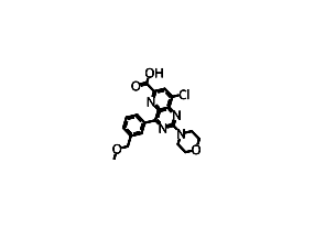 COCc1cccc(-c2nc(N3CCOCC3)nc3c(Cl)cc(C(=O)O)nc23)c1